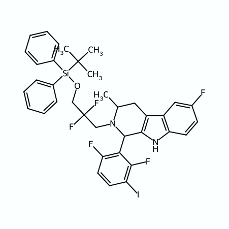 CC1Cc2c([nH]c3ccc(F)cc23)C(c2c(F)ccc(I)c2F)N1CC(F)(F)CO[Si](c1ccccc1)(c1ccccc1)C(C)(C)C